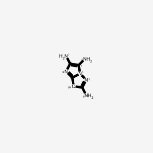 Nc1nn2c(N)c(N)nc2o1